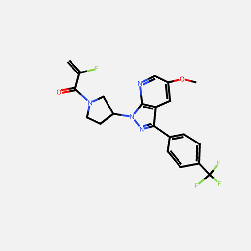 C=C(F)C(=O)N1CCC(n2nc(-c3ccc(C(F)(F)F)cc3)c3cc(OC)cnc32)C1